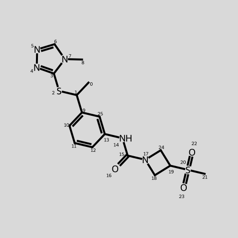 CC(Sc1nncn1C)c1cccc(NC(=O)N2CC(S(C)(=O)=O)C2)c1